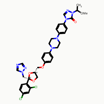 COC(C)n1ncn(-c2ccc(N3CCN(c4ccc(OC[C@@H]5CO[C@@](Cn6cncn6)(c6ccc(Cl)cc6Cl)O5)cc4)CC3)cc2)c1=O